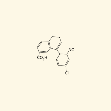 [C-]#[N+]c1cc(Cl)ccc1C1=CCCc2ccc(C(=O)O)cc21